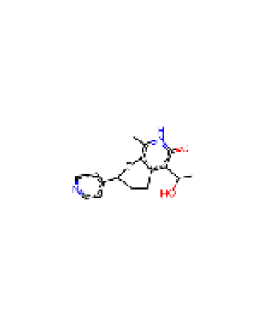 Cc1[nH]c(=O)c(C(C)O)c2c1CC(c1ccncc1)CC2